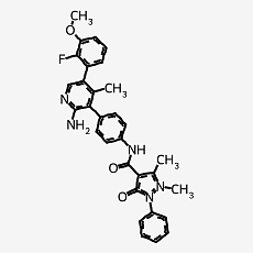 COc1cccc(-c2cnc(N)c(-c3ccc(NC(=O)c4c(C)n(C)n(-c5ccccc5)c4=O)cc3)c2C)c1F